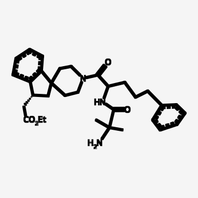 CCOC(=O)C[C@H]1CC2(CCN(C(=O)C(CCCc3ccccc3)NC(=O)C(C)(C)N)CC2)c2ccccc21